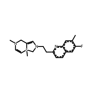 Cc1cc2nc(CCN3C=C4CN(C)C=CS4(C)C3)ccc2cc1F